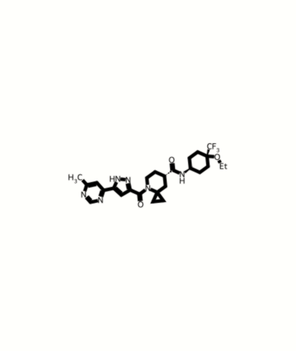 CCO[C@]1(C(F)(F)F)CC[C@@H](NC(=O)[C@H]2CCN(C(=O)c3cc(-c4cc(C)ncn4)[nH]n3)C3(CC3)C2)CC1